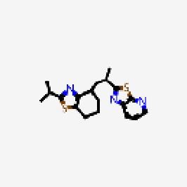 CC(C)c1nc2c(s1)CCCC2CC(C)c1nc2cccnc2s1